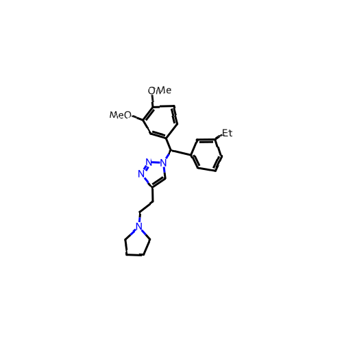 CCc1cccc(C(c2ccc(OC)c(OC)c2)n2cc(CCN3CCCC3)nn2)c1